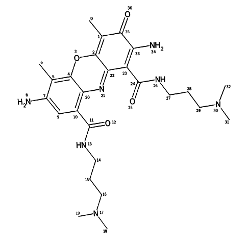 Cc1c2oc3c(C)c(N)cc(C(=O)NCCCN(C)C)c3nc-2c(C(=O)NCCCN(C)C)c(N)c1=O